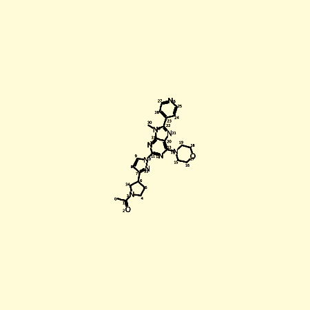 CC(=O)N1CCC(c2ccn(-c3nc(N4CCOCC4)c4nc(-c5ccncc5)n(C)c4n3)n2)C1